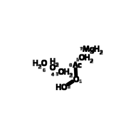 CC(=O)OO.O.O.O.O.[MgH2]